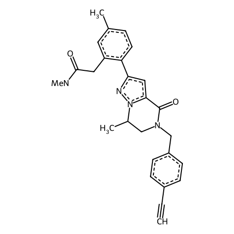 C#Cc1ccc(CN2CC(C)n3nc(-c4ccc(C)cc4CC(=O)NC)cc3C2=O)cc1